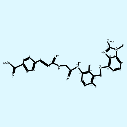 CNC(=O)c1ccc(/C=C/C(=O)NCC(=O)N(C)c2ccc(C)c(COc3cccc4c3nc(OC)n4C)c2C)cc1